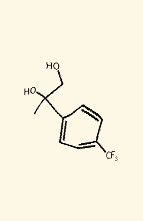 CC(O)(CO)c1ccc(C(F)(F)F)cc1